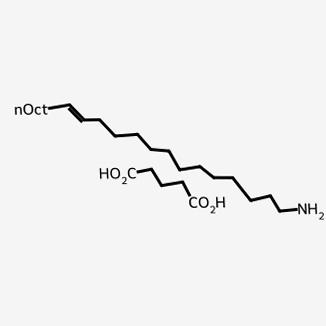 CCCCCCCCC=CCCCCCCCCCCCCN.O=C(O)CCCC(=O)O